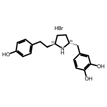 Br.Oc1ccc(CC[C@H]2CC[C@H](Cc3ccc(O)c(O)c3)N2)cc1